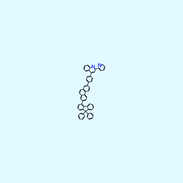 c1ccc(C2(c3ccccc3)c3ccccc3-c3c(-c4ccc5c(ccc6cc(-c7ccc(-c8cc(-c9ccccn9)nc9ccccc89)cc7)ccc65)c4)cccc32)cc1